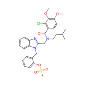 COc1ccc(C(=O)N(CCC(C)C)Cc2nc3ccccc3n2Cc2ccccc2OS(C)(=O)=O)c(Cl)c1OC